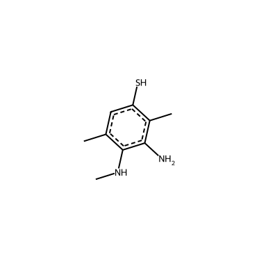 CNc1c(C)cc(S)c(C)c1N